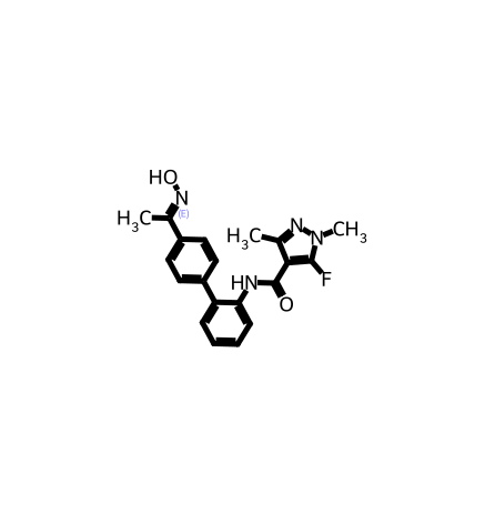 C/C(=N\O)c1ccc(-c2ccccc2NC(=O)c2c(C)nn(C)c2F)cc1